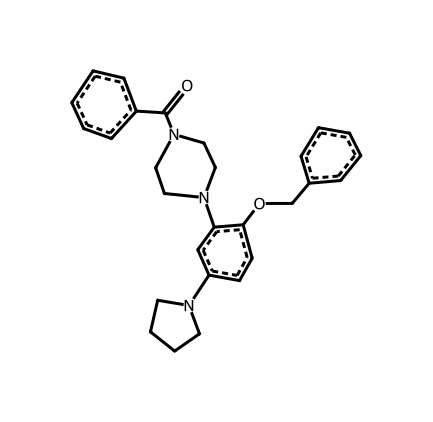 O=C(c1ccccc1)N1CCN(c2cc(N3CCCC3)ccc2OCc2ccccc2)CC1